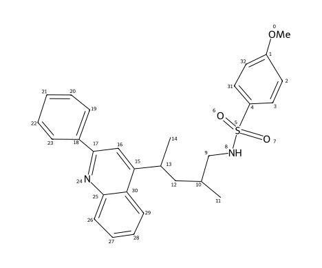 COc1ccc(S(=O)(=O)NCC(C)CC(C)c2cc(-c3ccccc3)nc3ccccc23)cc1